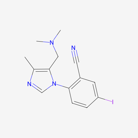 Cc1ncn(-c2ccc(I)cc2C#N)c1CN(C)C